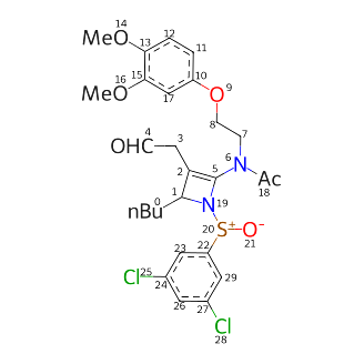 CCCCC1C(CC=O)=C(N(CCOc2ccc(OC)c(OC)c2)C(C)=O)N1[S+]([O-])c1cc(Cl)cc(Cl)c1